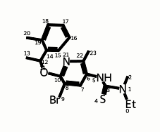 CCN(C)C(=S)Nc1cc(Br)c(OC(C)c2ccccc2C)nc1C